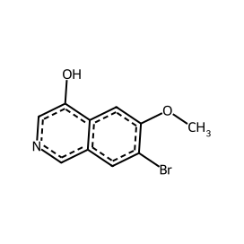 COc1cc2c(O)cncc2cc1Br